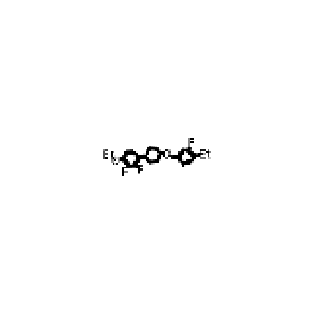 CCOc1ccc(C2CCC(OCc3ccc(CC)c(F)c3)CC2)c(F)c1F